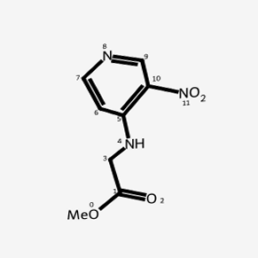 COC(=O)CNc1ccncc1[N+](=O)[O-]